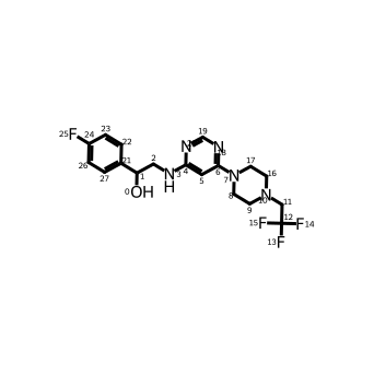 OC(CNc1cc(N2CCN(CC(F)(F)F)CC2)ncn1)c1ccc(F)cc1